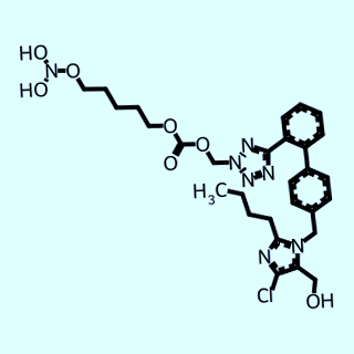 CCCCc1nc(Cl)c(CO)n1Cc1ccc(-c2ccccc2-c2nnn(COC(=O)OCCCCCON(O)O)n2)cc1